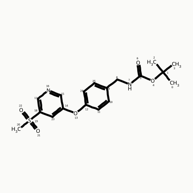 CC(C)(C)OC(=O)NCc1ccc(Oc2cncc(S(C)(=O)=O)c2)cc1